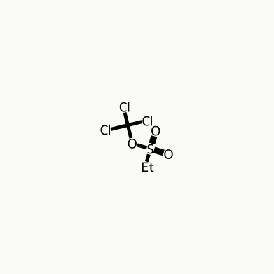 CCS(=O)(=O)OC(Cl)(Cl)Cl